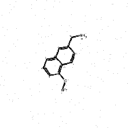 CCCOc1cccc2cc(CN)ccc12